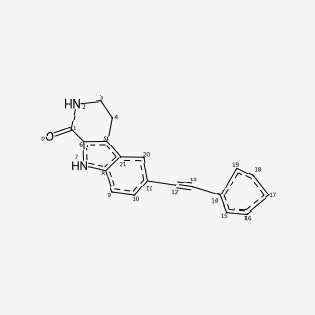 O=C1NCCc2c1[nH]c1ccc(C#Cc3ccccc3)cc21